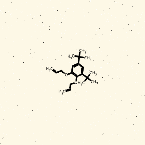 C=CCOc1cc(C(C)(C)C)cc(C(C)(C)C)c1OCC=C